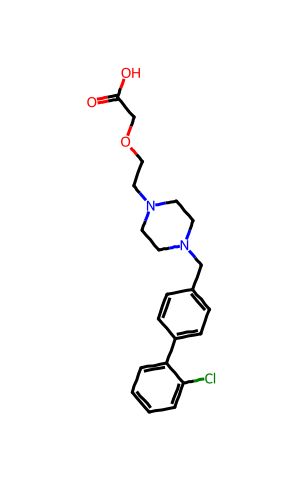 O=C(O)COCCN1CCN(Cc2ccc(-c3ccccc3Cl)cc2)CC1